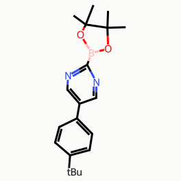 CC(C)(C)c1ccc(-c2cnc(B3OC(C)(C)C(C)(C)O3)nc2)cc1